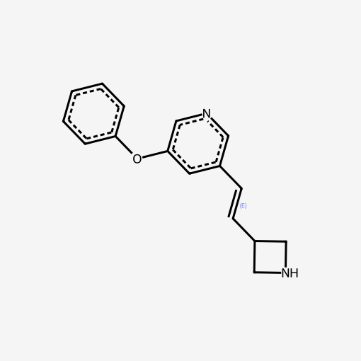 C(=C\C1CNC1)/c1cncc(Oc2ccccc2)c1